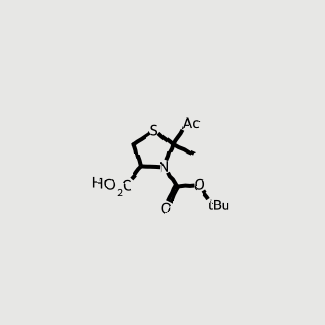 CC(=O)C1(C)SCC(C(=O)O)N1C(=O)OC(C)(C)C